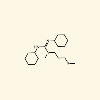 CSCCCN(C)/C(=N\C1CCCCC1)NC1CCCCC1